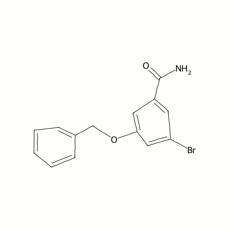 NC(=O)c1cc(Br)cc(OCc2ccccc2)c1